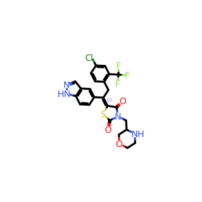 O=C1S/C(=C(/Cc2ccc(Cl)cc2C(F)(F)F)c2ccc3[nH]ncc3c2)C(=O)N1CC1COCCN1